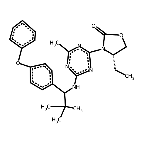 CC[C@H]1COC(=O)N1c1nc(C)nc(NC(c2ccc(Oc3ccccc3)cc2)C(C)(C)C)n1